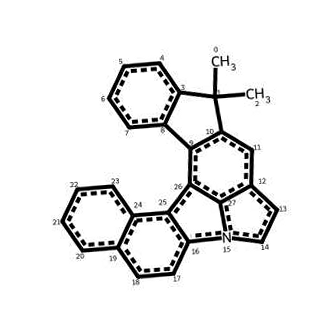 CC1(C)c2ccccc2-c2c1cc1ccn3c4ccc5ccccc5c4c2c13